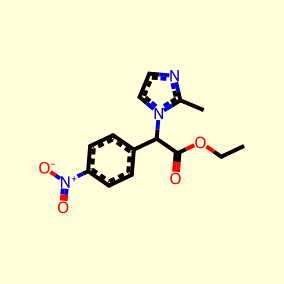 CCOC(=O)C(c1ccc([N+](=O)[O-])cc1)n1ccnc1C